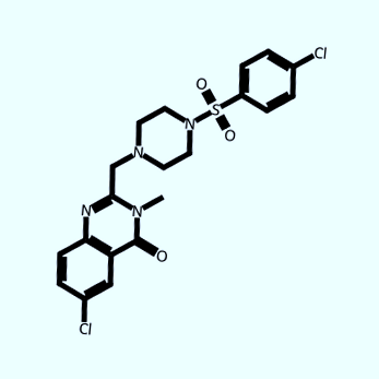 Cn1c(CN2CCN(S(=O)(=O)c3ccc(Cl)cc3)CC2)nc2ccc(Cl)cc2c1=O